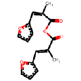 CC(=Cc1ccco1)C(=O)OC(=O)C(C)=Cc1ccco1